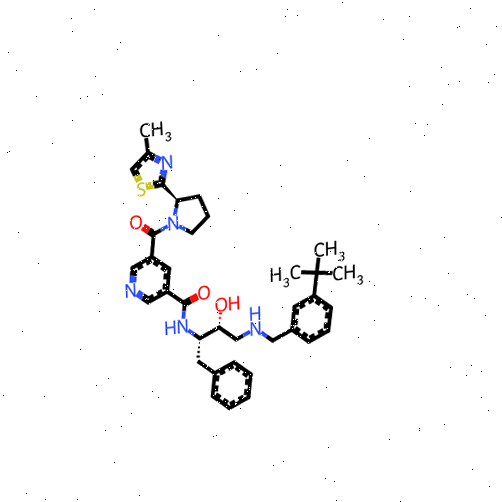 Cc1csc([C@H]2CCCN2C(=O)c2cncc(C(=O)N[C@@H](Cc3ccccc3)[C@H](O)CNCc3cccc(C(C)(C)C)c3)c2)n1